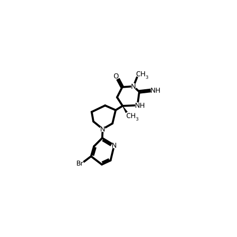 CN1C(=N)N[C@](C)(C2CCCN(c3cc(Br)ccn3)C2)CC1=O